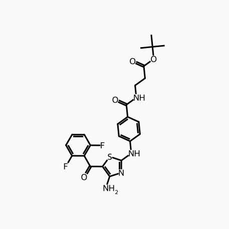 CC(C)(C)OC(=O)CCNC(=O)c1ccc(Nc2nc(N)c(C(=O)c3c(F)cccc3F)s2)cc1